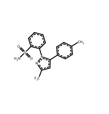 Cc1ccc(-c2cc(C(F)(F)F)nn2-c2ccccc2S(N)(=O)=O)cc1